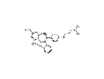 CCN(CC)CCCOc1ccc(C(=O)c2c(-c3c(OC)cc(OC)cc3OC)oc3ccccc23)cc1